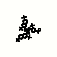 CC(=O)c1ccc(OP(Oc2cc3ccc(C(C)(C)C)cc3cc2C(C)(C)C)Oc2cc3ccc(C(C)(C)C)cc3cc2C(C)(C)C)c(C(C)(C)C)c1